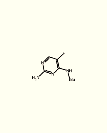 CC(C)(C)Nc1nc(N)ncc1F